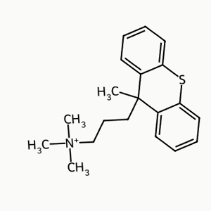 CC1(CCC[N+](C)(C)C)c2ccccc2Sc2ccccc21